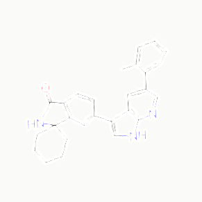 Cc1ccccc1-c1cnc2[nH]cc(-c3ccc4c(c3)C3(CCCCC3)NC4=O)c2c1